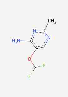 Cc1ncc(OC(F)F)c(N)n1